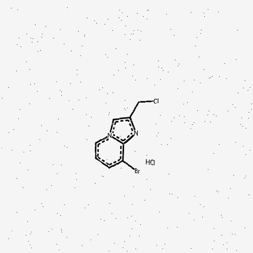 Cl.ClCc1cn2cccc(Br)c2n1